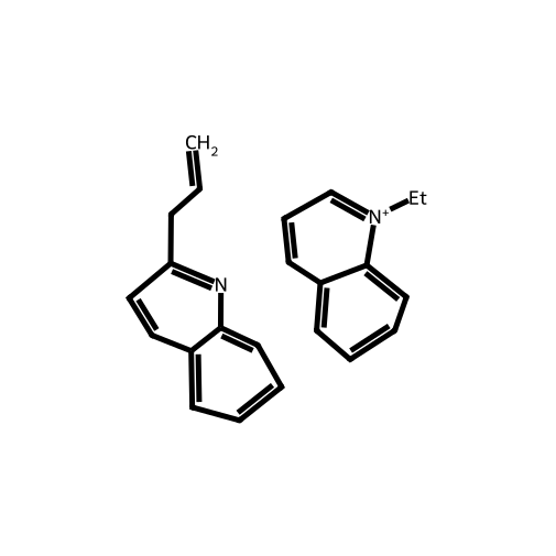 C=CCc1ccc2ccccc2n1.CC[n+]1cccc2ccccc21